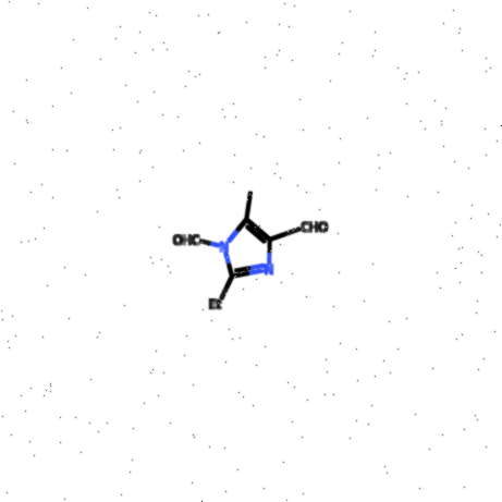 CCc1nc(C=O)c(C)n1C=O